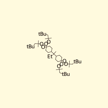 CCC(C)(C1CCC(OOC(C)(C)CC(C)(C)C)(OOC(C)(C)CC(C)(C)C)CC1)C1CCC(OOC(C)(C)CC(C)(C)C)(OOC(C)(C)CC(C)(C)C)CC1